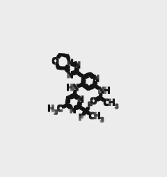 CC(=O)Nc1cc(Nc2cc(C)nc(C(C)(F)F)n2)c(-c2nc3n(n2)CCOC3)cn1